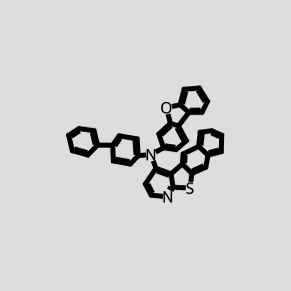 c1ccc(-c2ccc(N(c3ccc4c(c3)oc3ccccc34)c3ccnc4sc5cc6ccccc6cc5c34)cc2)cc1